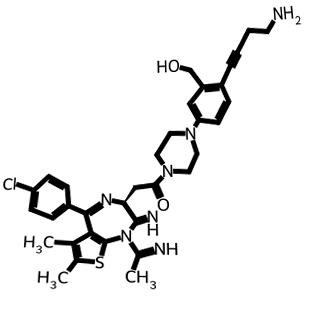 CC(=N)N1C(=N)[C@H](CC(=O)N2CCN(c3ccc(C#CCCN)c(CO)c3)CC2)N=C(c2ccc(Cl)cc2)c2c1sc(C)c2C